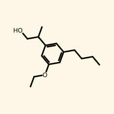 CCCCc1cc(OCC)cc([C](C)CO)c1